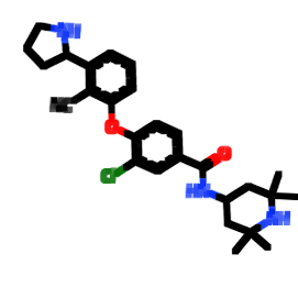 CC1(C)CC(NC(=O)c2ccc(Oc3cccc(C4CCCN4)c3C#N)c(Cl)c2)CC(C)(C)N1